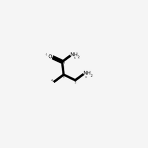 CC(CN)C(N)=O